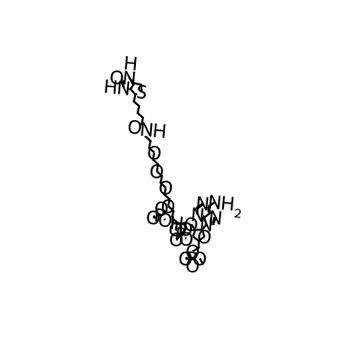 COP(=O)(OC)OCC1OC(n2cnc3c(N)ncnc32)C(O)C1OP(=O)(OC)OCC(COCCOCCOCCOCCCNC(=O)CCCCC1SCC2NC(=O)NC21)OP(=O)=O